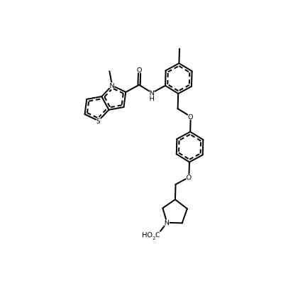 Cc1ccc(COc2ccc(OCC3CCN(C(=O)O)C3)cc2)c(NC(=O)c2cc3sccc3n2C)c1